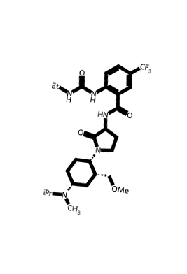 CCNC(=O)Nc1ccc(C(F)(F)F)cc1C(=O)NC1CCN([C@H]2CC[C@@H](N(C)C(C)C)C[C@H]2COC)C1=O